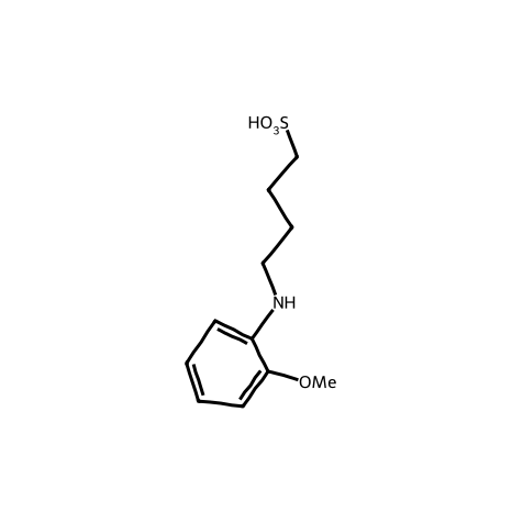 COc1ccccc1NCCCCS(=O)(=O)O